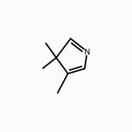 CC1=CN=CC1(C)C